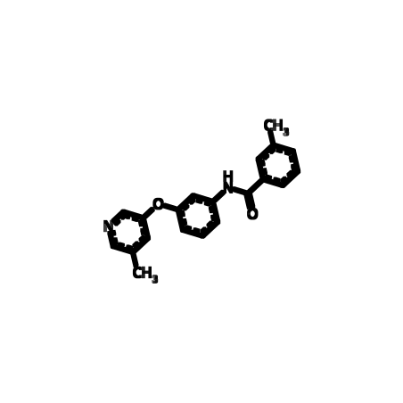 Cc1cncc(Oc2cccc(NC(=O)c3cccc(C)c3)c2)c1